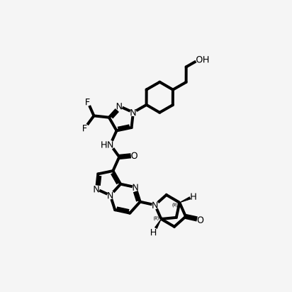 O=C(Nc1cn(C2CCC(CCO)CC2)nc1C(F)F)c1cnn2ccc(N3C[C@H]4C[C@@H]3CC4=O)nc12